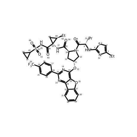 CCc1csc(N[C@H](C(=O)N2C[C@H](Oc3nc(-c4ccc(C(F)(F)F)cc4)nc4c3oc3ccccc34)C[C@H]2C(=O)N[C@]2(C(=O)NS(=O)(=O)C3CC3)C[C@H]2CC)C(C)C)n1